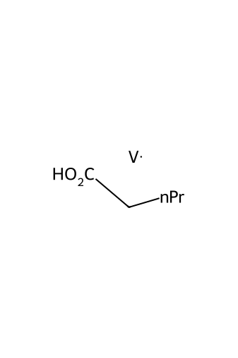 CCCCC(=O)O.[V]